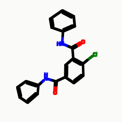 O=C(Nc1ccccc1)c1ccc(Cl)c(C(=O)Nc2ccccc2)c1